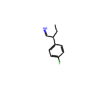 CCC(C=N)c1ccc(F)cc1